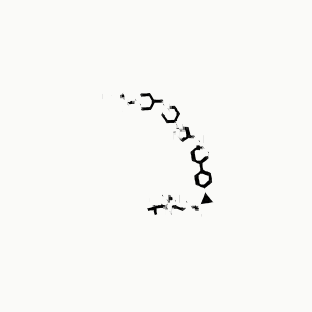 CC(C)(C)OC(=O)N1CCC(CN2CCC(n3cc(Nc4ccc(-c5ccc([C@H]6C[C@@H]6C(=O)NCc6nc(C(C)(C)C(F)(F)F)n[nH]6)cc5)cn4)cn3)CC2)CC1